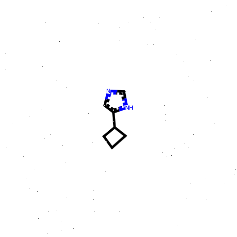 [c]1ncc(C2CCC2)[nH]1